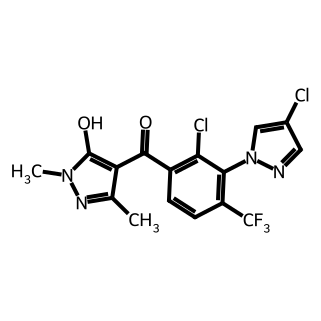 Cc1nn(C)c(O)c1C(=O)c1ccc(C(F)(F)F)c(-n2cc(Cl)cn2)c1Cl